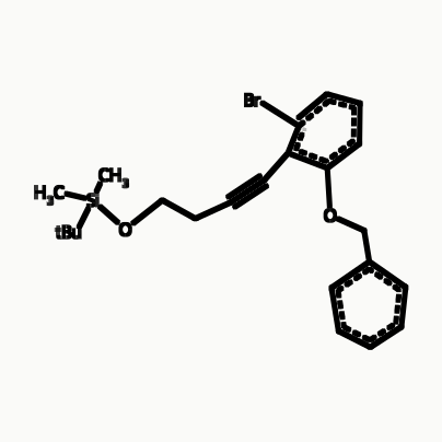 CC(C)(C)[Si](C)(C)OCCC#Cc1c(Br)cccc1OCc1ccccc1